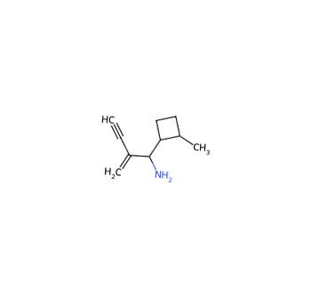 C#CC(=C)C(N)C1CCC1C